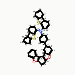 c1ccc2c(c1)oc1ccc3oc4ccc(-c5ccc(N(c6cccc7c6sc6ccccc67)c6cccc7c6sc6ccccc67)cc5)cc4c3c12